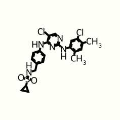 Cc1cc(C)c(Nc2ncc(Cl)c(Nc3ccc(CNS(=O)(=O)C4CC4)cc3)n2)cc1Cl